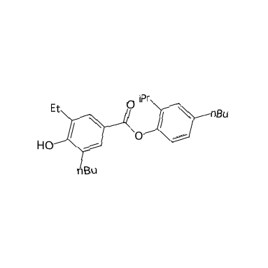 CCCCc1ccc(OC(=O)c2cc(CC)c(O)c(CCCC)c2)c(C(C)C)c1